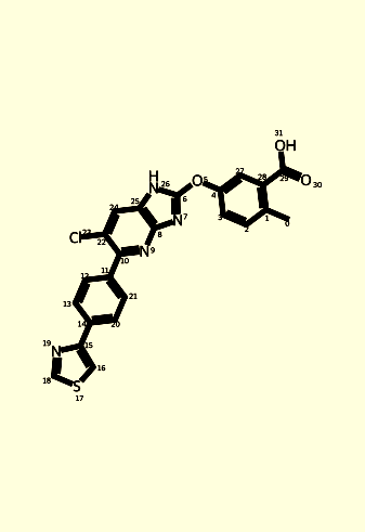 Cc1ccc(Oc2nc3nc(-c4ccc(-c5cscn5)cc4)c(Cl)cc3[nH]2)cc1C(=O)O